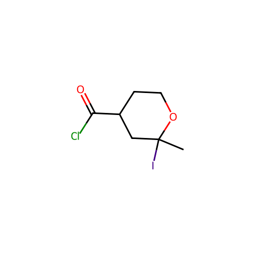 CC1(I)CC(C(=O)Cl)CCO1